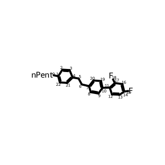 CCCCCc1ccc(CCc2ccc(-c3ccc(F)cc3F)cc2)cc1